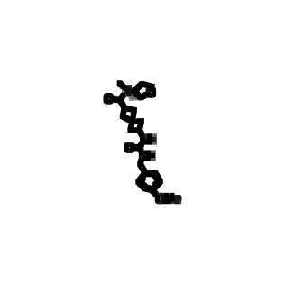 COc1ccc(CNC(=O)NC2CC3(C2)CC(C(=O)N(C)[C@H]2CCOC2)C3)cc1